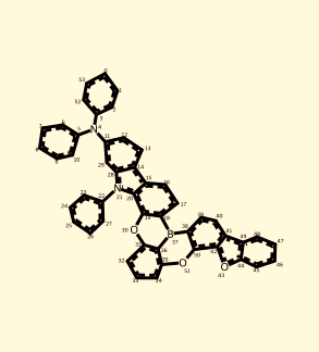 c1ccc(N(c2ccccc2)c2ccc3c4ccc5c(c4n(-c4ccccc4)c3c2)Oc2cccc3c2B5c2ccc4c(oc5ccccc54)c2O3)cc1